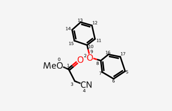 COC(=O)CC#N.c1ccc(Oc2ccccc2)cc1